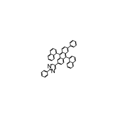 c1ccc(-c2ccc3c(-c4cccc5ccccc45)c4cc(-c5cnc(-c6ccccc6)nc5)ccc4c(-c4cccc5ccccc45)c3c2)cc1